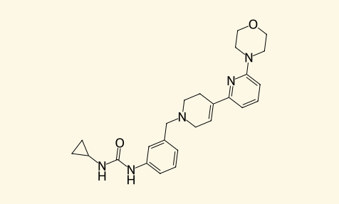 O=C(Nc1cccc(CN2CC=C(c3cccc(N4CCOCC4)n3)CC2)c1)NC1CC1